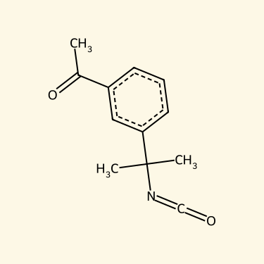 CC(=O)c1cccc(C(C)(C)N=C=O)c1